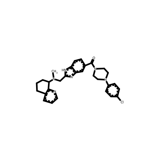 CN(Cc1nc2cc(C(=O)N3CCN(c4ccc(Cl)cc4)CC3)ccc2[nH]1)C1CCCc2cccnc21